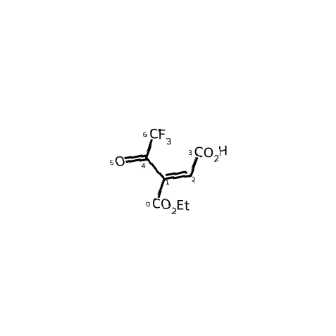 CCOC(=O)C(=CC(=O)O)C(=O)C(F)(F)F